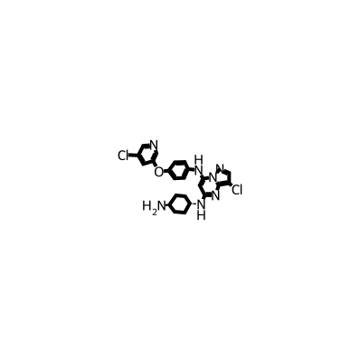 N[C@H]1CC[C@H](Nc2cc(Nc3ccc(Oc4cncc(Cl)c4)cc3)n3ncc(Cl)c3n2)CC1